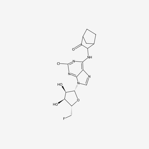 O=C1C2CCC(C2)C1Nc1nc(Cl)nc2c1ncn2[C@@H]1O[C@H](CF)[C@@H](O)[C@H]1O